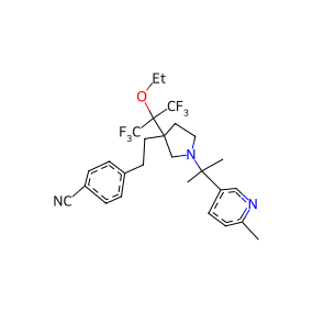 CCOC(C(F)(F)F)(C(F)(F)F)C1(CCc2ccc(C#N)cc2)CCN(C(C)(C)c2ccc(C)nc2)C1